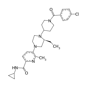 CC[C@H]1CN(c2ccc(C(=O)NC3CC3)nc2C)CCN1C1CCN(C(=O)c2ccc(Cl)cc2)CC1